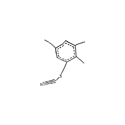 Cc1cc(C)c(C)c(SC#N)c1